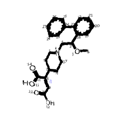 COC(CN1CCC(/C(=C/C(=O)O)C(=O)O)CC1)c1ccccc1-c1ccccc1